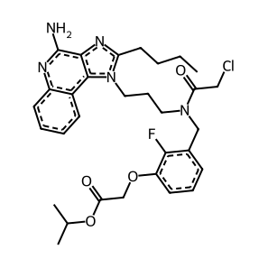 CCCCc1nc2c(N)nc3ccccc3c2n1CCCN(Cc1cccc(OCC(=O)OC(C)C)c1F)C(=O)CCl